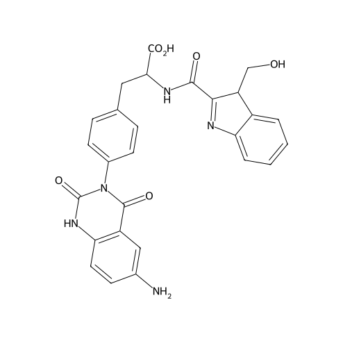 Nc1ccc2[nH]c(=O)n(-c3ccc(CC(NC(=O)C4=Nc5ccccc5C4CO)C(=O)O)cc3)c(=O)c2c1